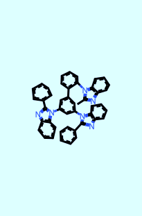 Cc1nc2ccccc2n1-c1ccccc1-c1cc(-n2c(-c3ccccc3)nc3ccccc32)cc(-n2c(-c3ccccc3)nc3ccccc32)c1